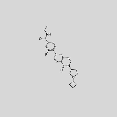 CCNC(=O)c1ccc(-c2ccc3c(c2)CCN([C@@H]2CCN(C4CCC4)C2)C3=O)c(F)c1